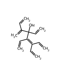 C=CC(=C)C(O)(C=C)C(C=C)=C(C=C)C=C